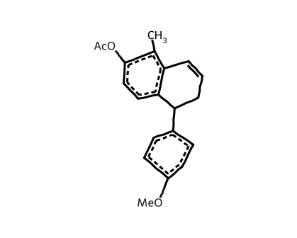 COc1ccc(C2CC=Cc3c2ccc(OC(C)=O)c3C)cc1